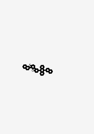 c1ccc2cc(-c3c4ccccc4c(-c4ccc5oc6c(ccc7sc8c9ccccc9ccc8c76)c5c4)c4ccccc34)ccc2c1